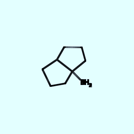 BC12CCCC1CCC2